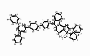 CC1(c2ccccc2)C(c2ccccc2)=Nc2c1ccc1c2c2ccccc2n1-c1ccc(-c2ccc(-c3nc(-c4ccccc4)nc(-c4ccccc4)n3)cc2)cc1